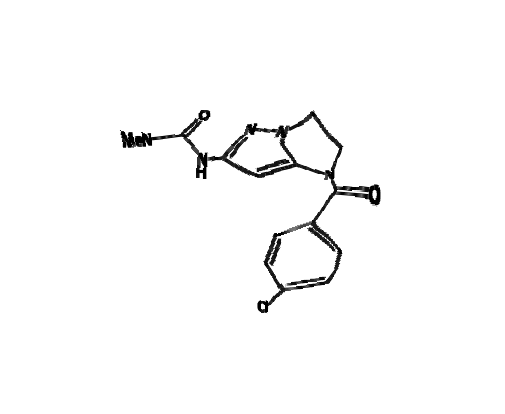 CNC(=O)Nc1cc2n(n1)CCN2C(=O)c1ccc(Cl)cc1